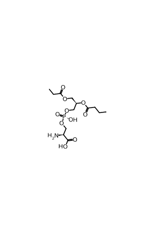 CCCC(=O)O[C@H](COC(=O)CC)CO[P@@](=O)(O)OC[C@H](N)C(=O)O